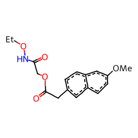 CCONC(=O)COC(=O)Cc1ccc2cc(OC)ccc2c1